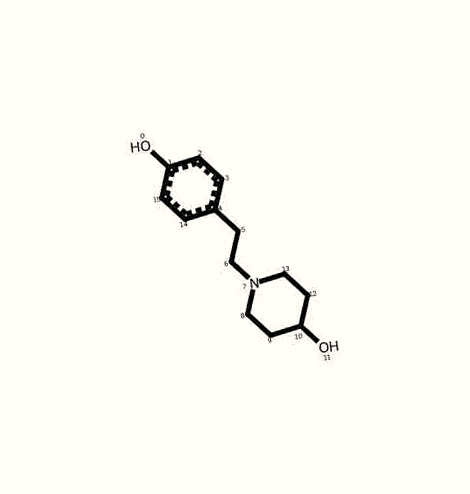 Oc1ccc(CCN2CCC(O)CC2)cc1